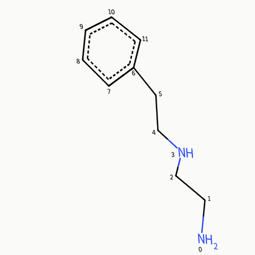 NCCNCCc1ccccc1